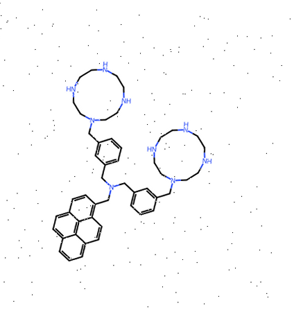 c1cc(CN2CCNCCNCCNCC2)cc(CN(Cc2cccc(CN3CCNCCNCCNCC3)c2)Cc2ccc3ccc4cccc5ccc2c3c45)c1